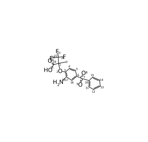 CC(Oc1ccc(S(=O)(=O)c2ccccc2)cc1N)(C(=O)O)C(F)(F)F